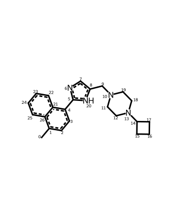 Cc1ccc(-c2ncc(CN3CCN(C4CCC4)CC3)[nH]2)c2ccccc12